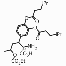 CCOC(=O)OC(C)CC(c1ccc(OC(=O)CCC(C)C)c(OC(=O)CCC(C)C)c1)[C@H](N)C(=O)O